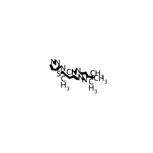 CC(C)(C)c1cc2nnc(CC(C)(C)c3nc4nnccc4s3)cn2n1